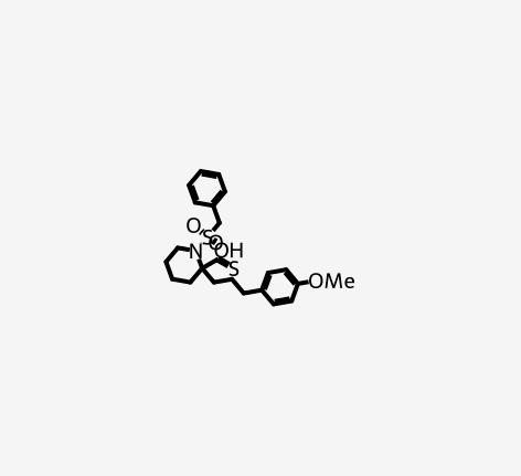 COc1ccc(CCCC2(C(O)=S)CCCCN2S(=O)(=O)Cc2ccccc2)cc1